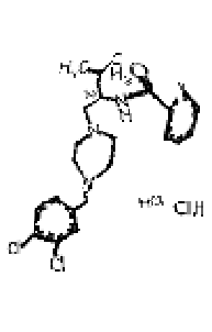 CC(C)[C@H](CN1CCN(Cc2ccc(Cl)c(Cl)c2)CC1)NC(=O)c1ccccn1.Cl.Cl